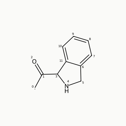 [CH2]C(=O)C1NCc2ccccc21